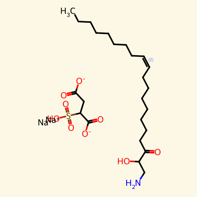 CCCCCCCC/C=C\CCCCCCCC(=O)C(O)CN.O=C([O-])CC(C(=O)[O-])S(=O)(=O)O.[Na+].[Na+]